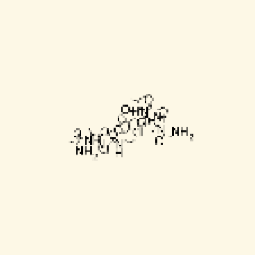 CC(C)[C@H](NC(=O)[C@@H]1CCCN1C(=O)[C@H](C)NC(=O)[C@H](C)N)C(=O)C(Cl)C(=O)C(Cl)C(=O)[C@@H](NC(=O)[C@@H]1CCCN1C(=O)[C@H](C)NC(=O)[C@H](C)N)C(C)C